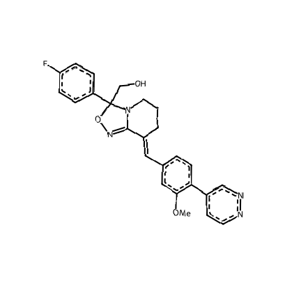 COc1cc(/C=C2\CCCN3C2=NOC3(CO)c2ccc(F)cc2)ccc1-c1ccnnc1